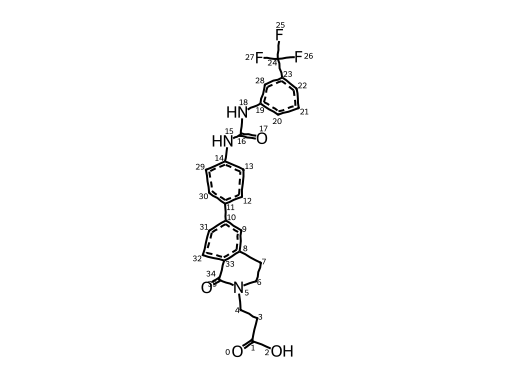 O=C(O)CCN1CCc2cc(-c3ccc(NC(=O)Nc4cccc(C(F)(F)F)c4)cc3)ccc2C1=O